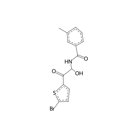 Cc1cccc(C(=O)NC(O)C(=O)c2ccc(Br)s2)c1